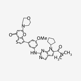 COc1cc(Nc2ncc3cc(C(=O)N(C)C)n(C4CCCC4)c3n2)cc(-c2csc3c(=O)cc(N4CCOCC4)oc23)c1